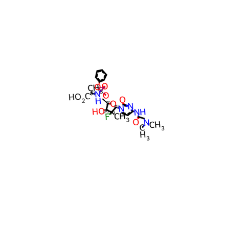 C[C@H](NP(=O)(OC[C@H]1O[C@@H](n2ccc(NC(=O)CN(C)C)nc2=O)[C@](C)(F)[C@@H]1O)Oc1ccccc1)C(=O)O